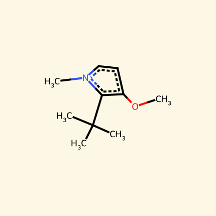 COc1ccn(C)c1C(C)(C)C